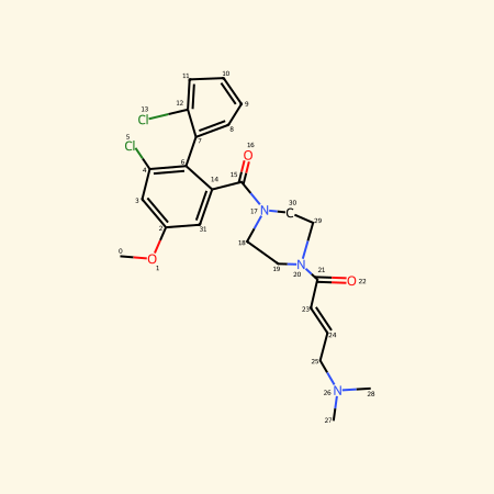 COc1cc(Cl)c(-c2ccccc2Cl)c(C(=O)N2CCN(C(=O)C=CCN(C)C)CC2)c1